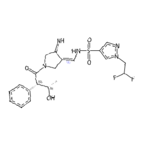 C[C@H](O)[C@@H](C(=O)N1CC(=N)/C(=C\NS(=O)(=O)c2cnn(CC(F)F)c2)C1)c1ccccc1